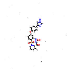 CC1CCCN(S(=O)(=O)c2ccc(Oc3ccc(-c4c[nH]cn4)cc3)cc2)[C@@H]1C(=O)NO